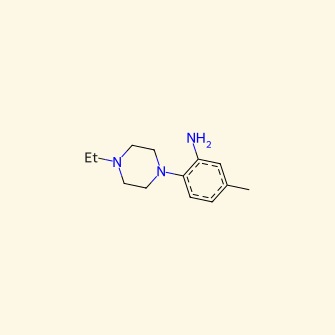 CCN1CCN(c2ccc(C)cc2N)CC1